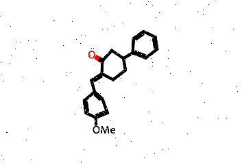 COc1ccc(C=C2CCC(c3ccccc3)CC2=O)cc1